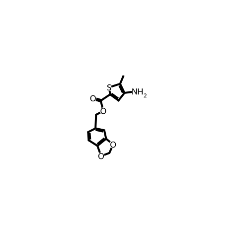 Cc1sc(C(=O)OCc2ccc3c(c2)OCO3)cc1N